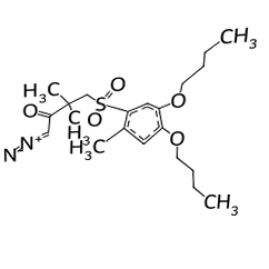 CCCCOc1cc(C)c(S(=O)(=O)CC(C)(C)C(=O)C=[N+]=[N-])cc1OCCCC